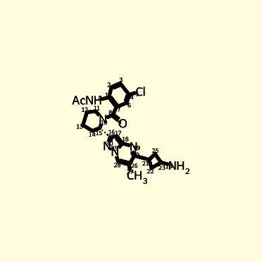 CC(=O)Nc1ccc(Cl)cc1C(=O)N1CCCC[C@H]1c1cc2nc(C3CC(N)C3)c(C)cn2n1